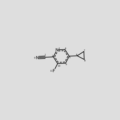 N#Cc1ncc(C2CC2)cc1F